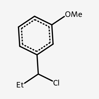 CCC(Cl)c1cccc(OC)c1